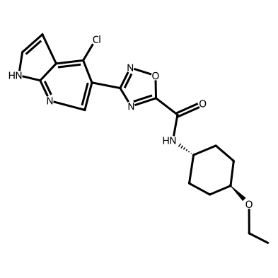 CCO[C@H]1CC[C@H](NC(=O)c2nc(-c3cnc4[nH]ccc4c3Cl)no2)CC1